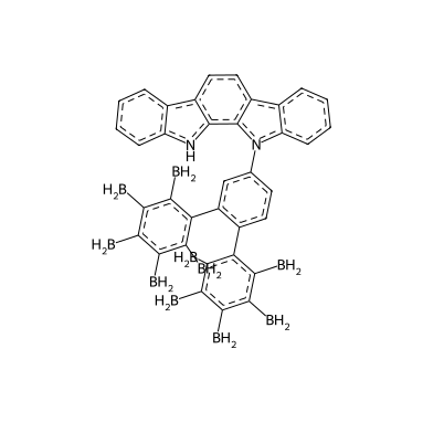 Bc1c(B)c(B)c(-c2ccc(-n3c4ccccc4c4ccc5c6ccccc6[nH]c5c43)cc2-c2c(B)c(B)c(B)c(B)c2B)c(B)c1B